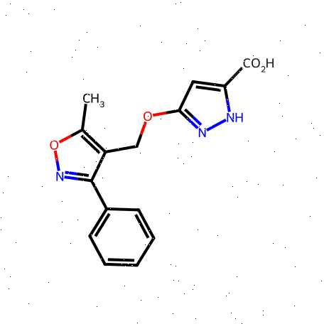 Cc1onc(-c2ccccc2)c1COc1cc(C(=O)O)[nH]n1